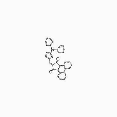 O=C1C(=Cc2ccc(N(c3ccccc3)c3ccccc3)s2)C(=O)c2c1c1ccccc1c1ccccc21